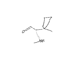 CN[C@H](C=O)C1(C)CC1